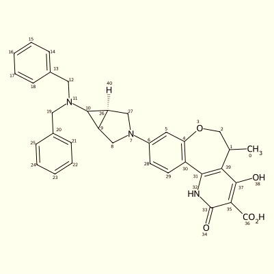 CC1COc2cc(N3CC4C(N(Cc5ccccc5)Cc5ccccc5)[C@H]4C3)ccc2-c2[nH]c(=O)c(C(=O)O)c(O)c21